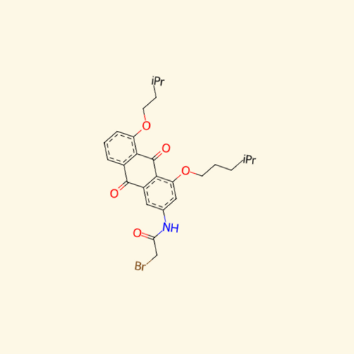 CC(C)CCCOc1cc(NC(=O)CBr)cc2c1C(=O)c1c(OCCC(C)C)cccc1C2=O